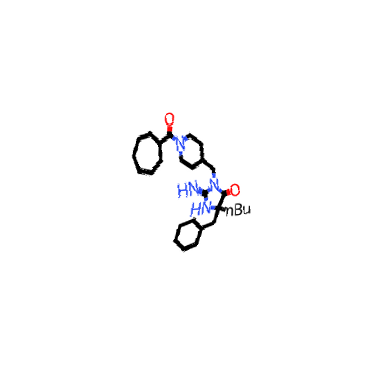 CCCCC1(CC2CCCCC2)NC(=N)N(CC2CCN(C(=O)C3CCCCCC3)CC2)C1=O